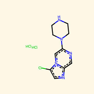 Cl.Cl.Clc1cnc2cnc(N3CCNCC3)cn12